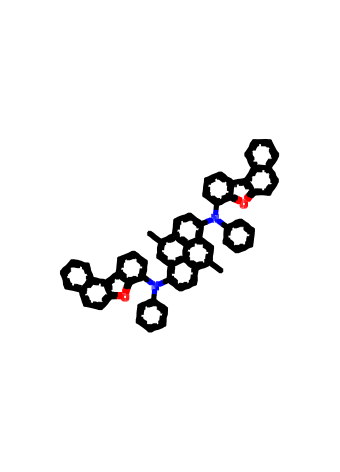 Cc1cc2c(N(c3ccccc3)c3cccc4c3oc3ccc5ccccc5c34)ccc3c(C)cc4c(N(c5ccccc5)c5cccc6c5oc5ccc7ccccc7c56)ccc1c4c32